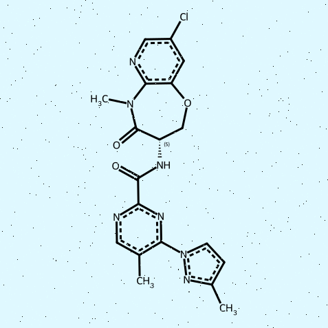 Cc1ccn(-c2nc(C(=O)N[C@H]3COc4cc(Cl)cnc4N(C)C3=O)ncc2C)n1